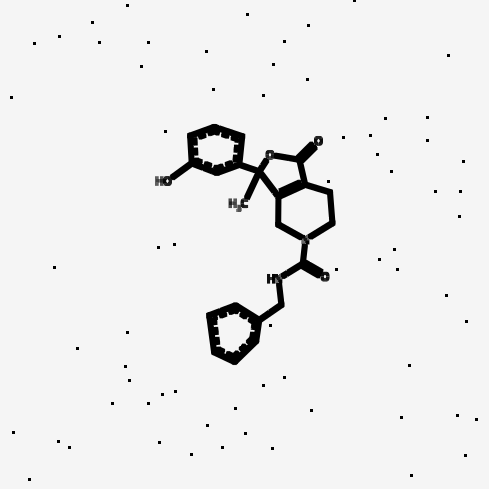 CC1(c2cccc(O)c2)OC(=O)C2=C1CN(C(=O)NCc1ccccc1)CC2